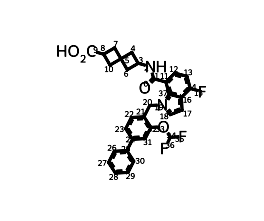 O=C(NC1CC2(C1)CC(C(=O)O)C2)c1ccc(F)c2ccn(Cc3ccc(-c4ccccc4)cc3OC(F)F)c12